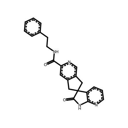 O=C(NCCc1ccccc1)c1cc2c(cn1)CC1(C2)C(=O)Nc2ncccc21